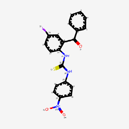 O=C(c1ccccc1)c1cc(I)ccc1NC(=S)Nc1ccc([N+](=O)[O-])cc1